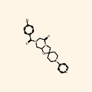 O=C(c1ccc(Br)cc1)N1CC(=O)N2CC3(CCN(c4ccncc4)CC3)OC2C1